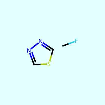 CF.c1nncs1